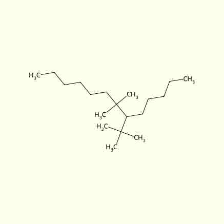 [CH2]C(C)(C)C(CCCCC)C(C)(C)CCCCCC